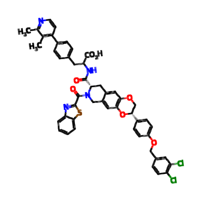 Cc1nccc(-c2ccc(CC(NC(=O)[C@@H]3Cc4cc5c(cc4CN3C(=O)c3nc4ccccc4s3)O[C@@H](c3ccc(OCc4ccc(Cl)c(Cl)c4)cc3)CO5)C(=O)O)cc2)c1C